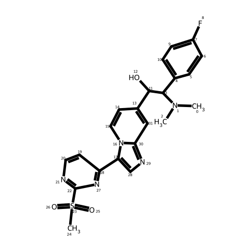 CN(C)C(c1ccc(F)cc1)C(O)c1ccn2c(-c3ccnc(S(C)(=O)=O)n3)cnc2c1